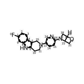 Fc1ccc2c3c([nH]c2c1)CCN(c1ccc(N2C[C@@H]4OCC42)nc1)C3